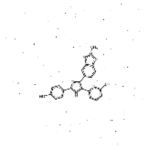 Cc1cccc(-c2[nH]c(-c3ccc(O)cc3)nc2-c2ccc3nn(C)nc3c2)n1